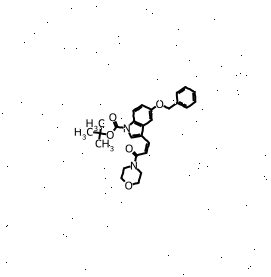 CC(C)(C)OC(=O)n1cc(/C=C\C(=O)N2CCOCC2)c2cc(OCc3ccccc3)ccc21